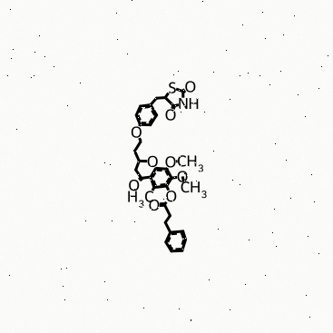 COc1c(OC(=O)CCc2ccccc2)c(C)c2c(c1OC)OC(CCOc1ccc(CC3SC(=O)NC3=O)cc1)CC2=O